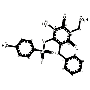 Cc1ccc(S(=O)(=O)Oc2c(Cc3ccccc3)c(=O)n(CS(=O)(=O)O)c(=O)n2C)cc1